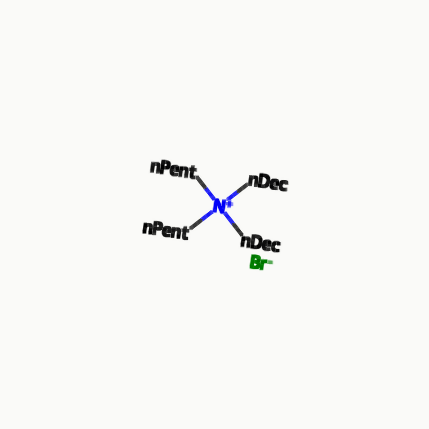 CCCCCCCCCC[N+](CCCCC)(CCCCC)CCCCCCCCCC.[Br-]